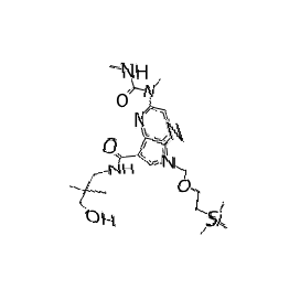 CNC(=O)N(C)c1cnc2c(n1)c(C(=O)NCC(C)(C)CO)cn2COCC[Si](C)(C)C